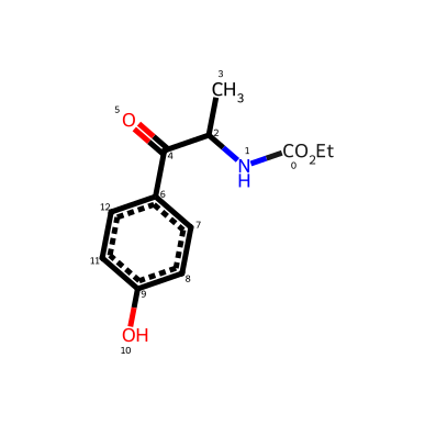 CCOC(=O)NC(C)C(=O)c1ccc(O)cc1